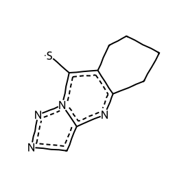 [S]c1c2c(nc3cnnn13)CCCC2